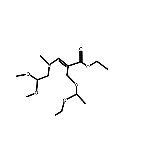 CCOC(=O)/C(=C/N(C)CC(OC)OC)COC(C)OCC